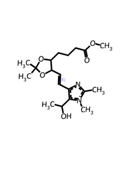 COC(=O)CCCC1OC(C)(C)OC1/C=C/c1nc(C)n(C)c1C(C)O